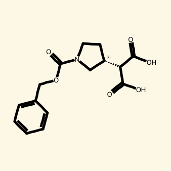 O=C(O)C(C(=O)O)[C@H]1CCN(C(=O)OCc2ccccc2)C1